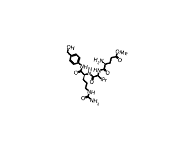 COC(=O)CC[C@H](N)C(=O)NC(C(=O)N[C@@H](CCCNC(N)=O)C(=O)Nc1ccc(CO)cc1)C(C)C